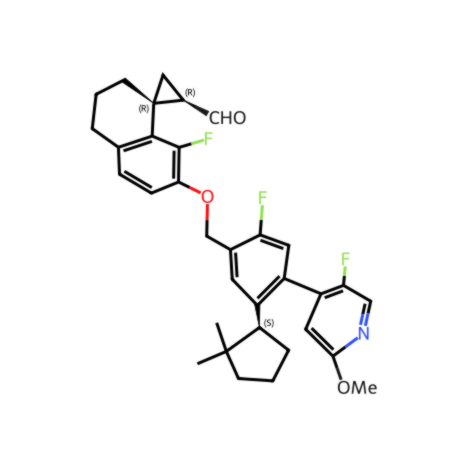 COc1cc(-c2cc(F)c(COc3ccc4c(c3F)[C@]3(CCC4)C[C@H]3C=O)cc2[C@H]2CCCC2(C)C)c(F)cn1